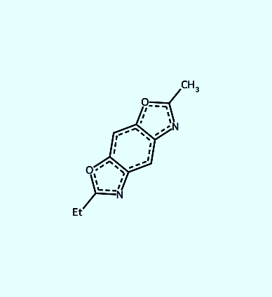 CCc1nc2cc3nc(C)oc3cc2o1